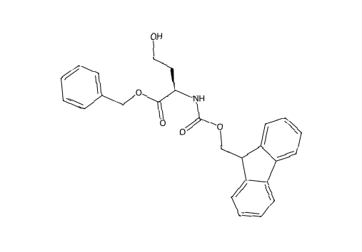 O=C(N[C@H](CCO)C(=O)OCc1ccccc1)OCC1c2ccccc2-c2ccccc21